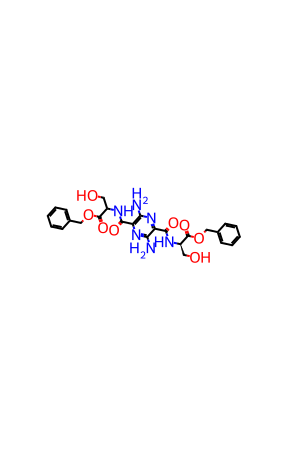 Nc1nc(C(=O)N[C@H](CO)C(=O)OCc2ccccc2)c(N)nc1C(=O)NC(CO)C(=O)OCc1ccccc1